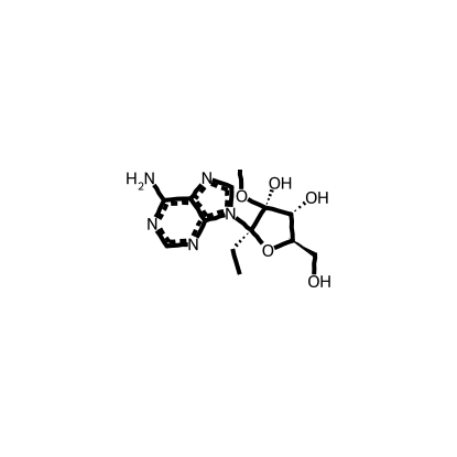 CC[C@@]1(n2cnc3c(N)ncnc32)O[C@H](CO)[C@@H](O)[C@]1(O)OC